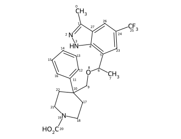 Cc1n[nH]c2c(C(C)OCC3(c4ccccc4)CCN(C(=O)O)CC3)cc(C(F)(F)F)cc12